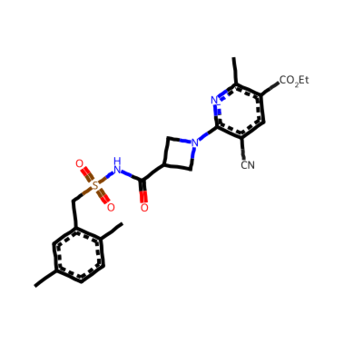 CCOC(=O)c1cc(C#N)c(N2CC(C(=O)NS(=O)(=O)Cc3cc(C)ccc3C)C2)nc1C